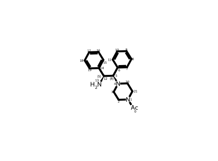 CC(=O)N1CCN([C@H](c2ccccc2)[C@@H](N)c2ccccc2)CC1